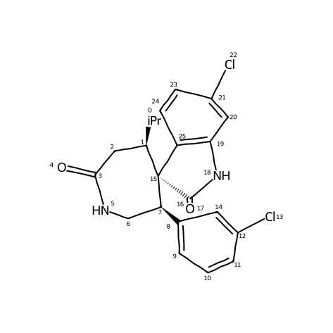 CC(C)[C@@H]1CC(=O)NC[C@H](c2cccc(Cl)c2)[C@@]12C(=O)Nc1cc(Cl)ccc12